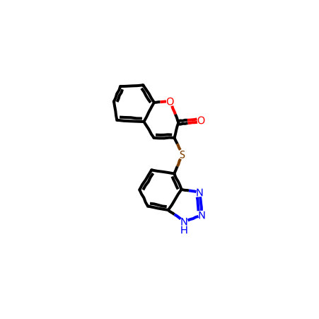 O=c1oc2ccccc2cc1Sc1cccc2[nH]nnc12